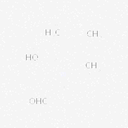 CC(C)(C)/C(O)=C/C=O